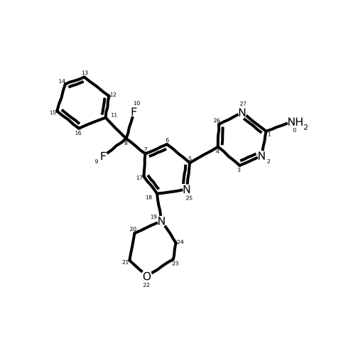 Nc1ncc(-c2cc(C(F)(F)c3ccccc3)cc(N3CCOCC3)n2)cn1